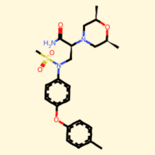 Cc1ccc(Oc2ccc(N(C[C@@H](C(N)=O)N3C[C@@H](C)O[C@@H](C)C3)S(C)(=O)=O)cc2)cc1